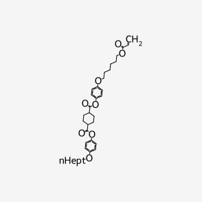 C=CC(=O)OCCCCCCOc1ccc(OC(=O)C2CCC(C(=O)Oc3ccc(OCCCCCCC)cc3)CC2)cc1